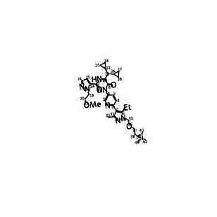 CCc1c(-c2ccc(NC(=O)[C@@H](NC(=O)c3ccnn3CCOC)C(C3CC3)C3CC3)cn2)c(C)nn1COCC[Si](C)(C)C